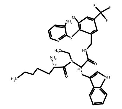 CCN(C(=O)[C@@H](N)CCCCN)[C@@H](Cc1c[nH]c2ccccc12)C(=O)NCc1cc(C(F)(F)F)cc(Cl)c1Sc1ncccc1N